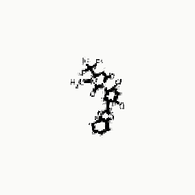 Cn1c(C(F)(F)F)cc(=O)n(-c2cc(-c3nc4ccccc4s3)c(Cl)cc2Cl)c1=O